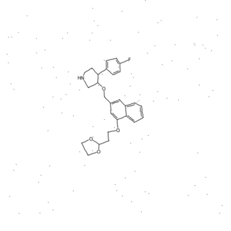 Fc1ccc(C2CCNCC2OCc2cc(OCCC3OCCO3)c3ccccc3c2)cc1